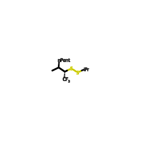 CCCCCC(C)[C@H](SSC(C)C)C(F)(F)F